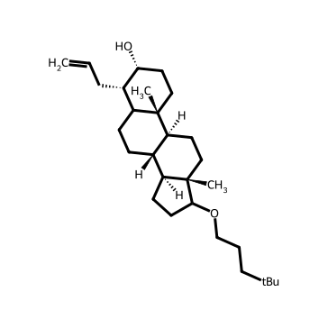 C=CC[C@H]1C2CC[C@@H]3[C@H](CC[C@]4(C)C(OCCCC(C)(C)C)CC[C@@H]34)[C@@]2(C)CC[C@H]1O